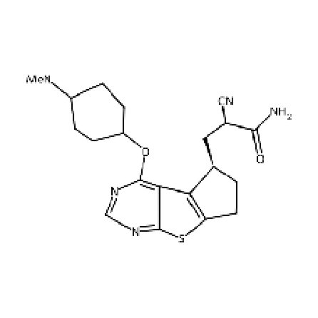 CNC1CCC(Oc2ncnc3sc4c(c23)[C@@H](CC(C#N)C(N)=O)CC4)CC1